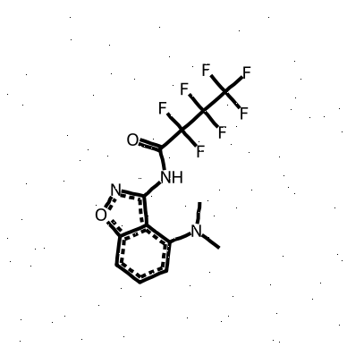 CN(C)c1cccc2onc(NC(=O)C(F)(F)C(F)(F)C(F)(F)F)c12